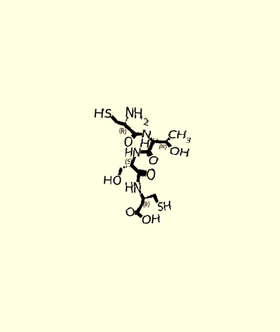 C[C@@H](O)[C@H](NC(=O)[C@@H](N)CS)C(=O)N[C@@H](CO)C(=O)N[C@@H](CS)C(=O)O